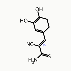 N#C/C(=C\C1=CC(O)=C(O)CC1)C(N)=S